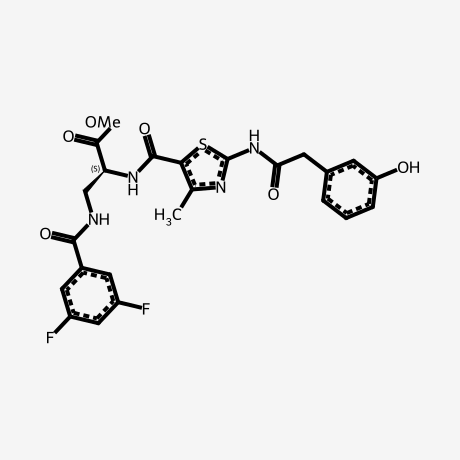 COC(=O)[C@H](CNC(=O)c1cc(F)cc(F)c1)NC(=O)c1sc(NC(=O)Cc2cccc(O)c2)nc1C